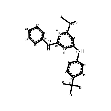 CN(C)c1cc(Nc2ccc(C(C)(C)C)cc2)nc(Nc2ccccc2)n1